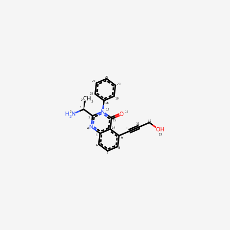 C[C@H](N)c1nc2cccc(C#CCO)c2c(=O)n1-c1ccccc1